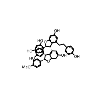 COc1ccc([C@@H]2OC3CC(O)=CC([C@H]4c5c(CCc6ccc(O)cc6)cc(O)cc5O[C@@H]4c4ccc(O)cc4)=C3[C@H]2c2cc(O)cc(O)c2)cc1